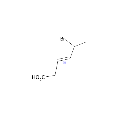 CC(Br)/C=C/CC(=O)O